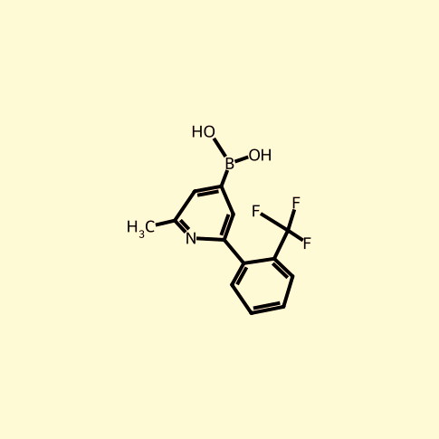 Cc1cc(B(O)O)cc(-c2ccccc2C(F)(F)F)n1